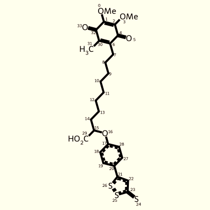 COC1=C(OC)C(=O)C(CCCCCCCCC(Oc2ccc(-c3cc(=S)ss3)cc2)C(=O)O)=C(C)C1=O